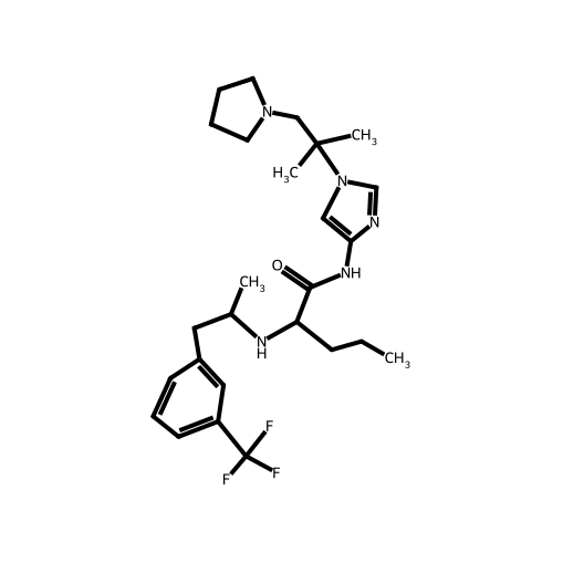 CCCC(NC(C)Cc1cccc(C(F)(F)F)c1)C(=O)Nc1cn(C(C)(C)CN2CCCC2)cn1